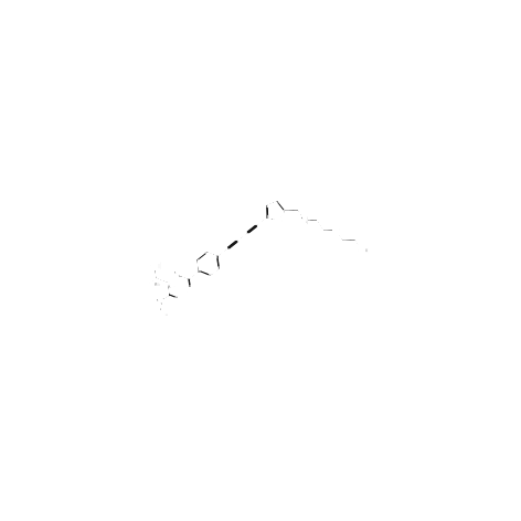 C[C@@H](O)[C@H](NC(=O)c1ccc(C#CC#Cc2ccc(CNCCOCCO)o2)cc1)C(=O)NO